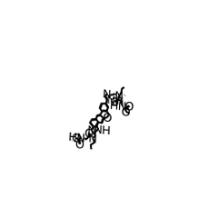 CCCN(Cc1nc2ccc3cc4c(cc3c2[nH]1)OCc1cc(-c2cnc(CN(C(=O)CNC(=O)OC)[C@@H](C)CC)[nH]2)ccc1-4)C(=O)CNC(=O)OC